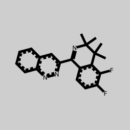 CC1(C)N=C(c2cc3ccccc3nn2)c2ccc(F)c(F)c2C1(C)C